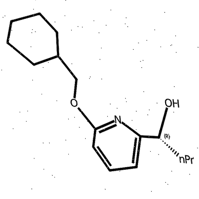 CCC[C@@H](O)c1cccc(OCC2CCCCC2)n1